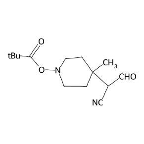 CC(C)(C)C(=O)ON1CCC(C)(C(C#N)C=O)CC1